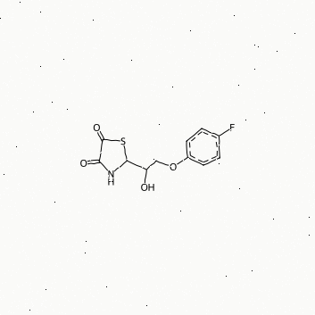 O=C1NC(C(O)COc2ccc(F)cc2)SC1=O